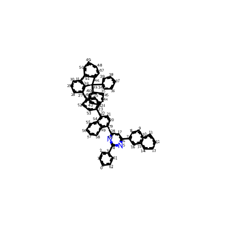 c1ccc(-c2nc(-c3ccc4ccccc4c3)cc(-c3ccc(-c4ccc(-c5cccc6c5C(c5ccccc5)(c5ccccc5)c5ccccc5-6)cc4)c4ccccc34)n2)cc1